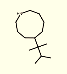 CC(C)C(C)(C)C1CCCCNCCC1